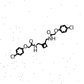 O=C(COc1ccc(Cl)cc1)NCC1C2CC1(CNC(=O)COc1ccc(Cl)cc1)C2